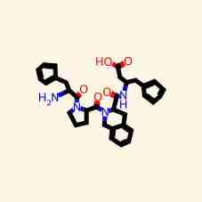 NC(Cc1ccccc1)C(=O)N1CCCC1C(=O)N1Cc2ccccc2CC1C(=O)NC(CC(=O)O)Cc1ccccc1